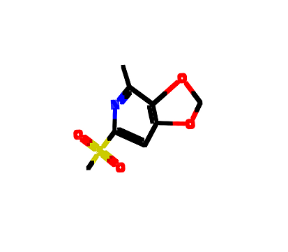 Cc1nc(S(C)(=O)=O)cc2c1OCO2